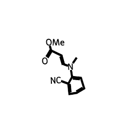 COC(=O)C=CN(C)c1ccccc1C#N